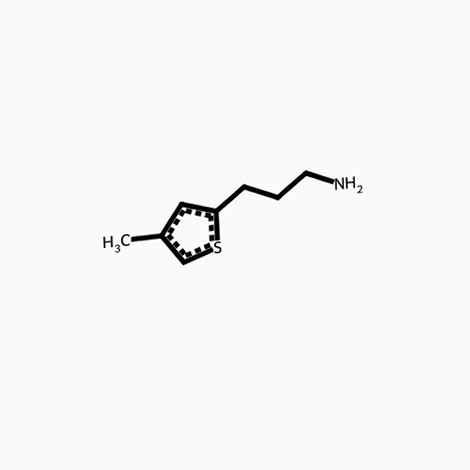 Cc1csc(CCCN)c1